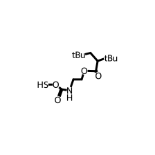 CC(C)(C)CC(C(=O)OCCNC(=O)OS)C(C)(C)C